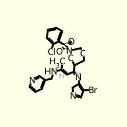 C/C(=C\C(=N/C1=C(Br)C=NC1)C1CCCN(S(=O)(=O)c2ccccc2Cl)C1)NCc1cccnc1